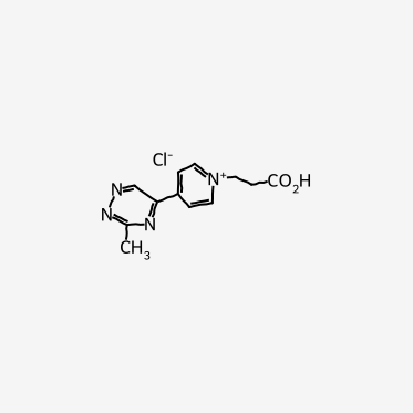 Cc1nncc(-c2cc[n+](CCC(=O)O)cc2)n1.[Cl-]